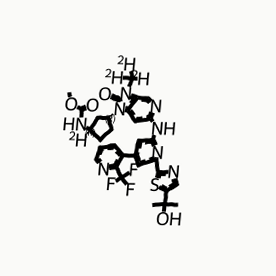 [2H]C([2H])([2H])n1c(=O)n([C@@H]2CC[C@@]([2H])(NC(=O)OC)C2)c2cc(Nc3cc(-c4cccnc4C(F)(F)F)cc(-c4ncc(C(C)(C)O)s4)n3)ncc21